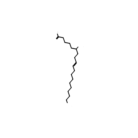 CCCCCCCCCC=CCCC(C)CCCCC(=O)O